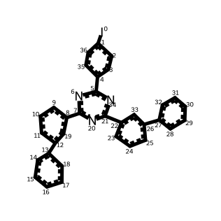 Ic1ccc(-c2nc(-c3cccc(-c4ccccc4)c3)nc(-c3cccc(-c4ccccc4)c3)n2)cc1